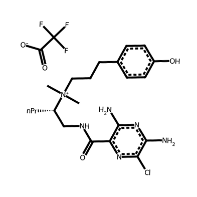 CCC[C@@H](CNC(=O)c1nc(Cl)c(N)nc1N)[N+](C)(C)CCCc1ccc(O)cc1.O=C([O-])C(F)(F)F